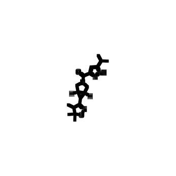 CC(C)c1cc(C(=O)N2C[C@@H]3C(C4=NOC(C)(C)C4C)[C@@H]3C2)n[nH]1